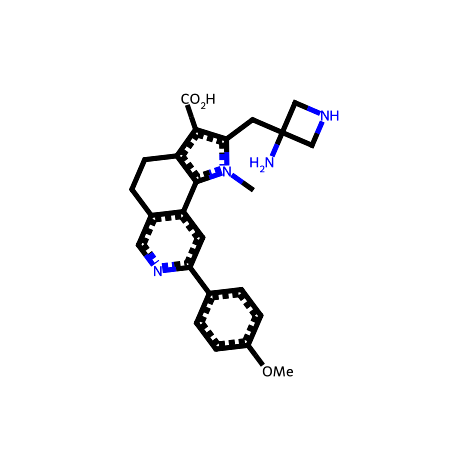 COc1ccc(-c2cc3c(cn2)CCc2c(C(=O)O)c(CC4(N)CNC4)n(C)c2-3)cc1